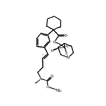 CN(CC/C=C/c1cccc(C2(C(=O)O[C@H]3CN4CCC3CC4)CCCCC2)c1)C(=O)OC(C)(C)C